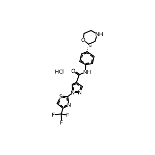 Cl.O=C(Nc1ccc([C@H]2CNCCO2)cc1)c1cnn(-c2nc(C(F)(F)F)cs2)c1